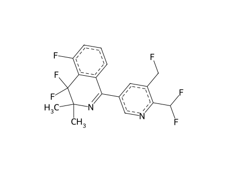 CC1(C)N=C(c2cnc(C(F)F)c(CF)c2)c2cccc(F)c2C1(F)F